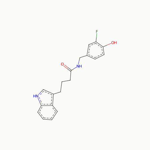 O=C(CCCc1c[nH]c2ccccc12)NCc1ccc(O)c(F)c1